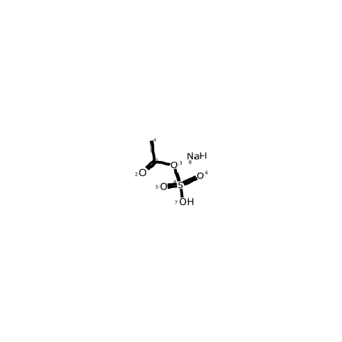 CC(=O)OS(=O)(=O)O.[NaH]